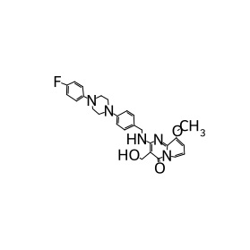 COc1cccn2c(=O)c(CO)c(NCc3ccc(N4CCN(c5ccc(F)cc5)CC4)cc3)nc12